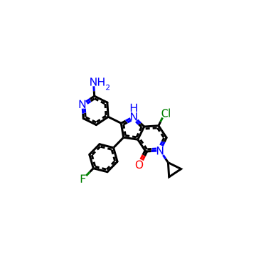 Nc1cc(-c2[nH]c3c(Cl)cn(C4CC4)c(=O)c3c2-c2ccc(F)cc2)ccn1